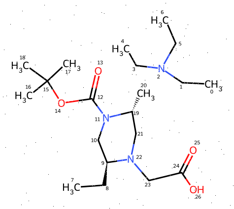 CCN(CC)CC.CC[C@H]1CN(C(=O)OC(C)(C)C)[C@H](C)CN1CC(=O)O